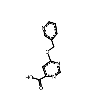 O=C(O)c1cc(OCc2cccnc2)ncn1